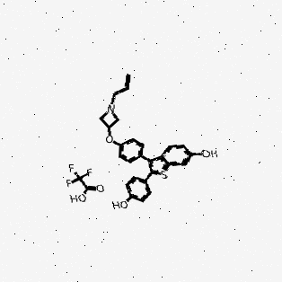 C=CCN1CC(Oc2ccc(-c3c(-c4ccc(O)cc4)sc4cc(O)ccc34)cc2)C1.O=C(O)C(F)(F)F